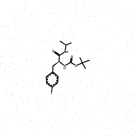 CC(C)NC(=O)[C@H](Cc1ccc(I)cc1)NC(=O)OC(C)(C)C